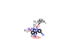 COc1cc(C)c2c(ccn2C(=O)O)c1C(C)(N)c1nc2cc(C#N)ccc2n1COCC[Si](C)(C)C